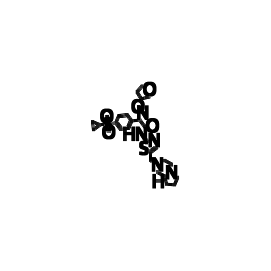 O=C(Nc1ncc(CN2CCN3CCC[C@H]3C2)s1)/C(=N/O[C@@H]1CCOC1)c1ccc(S(=O)(=O)C2CC2)cc1